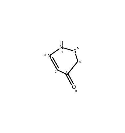 O=C1C=NNSC1